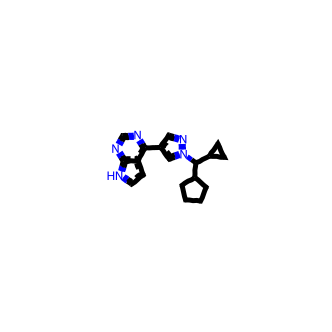 c1nc(-c2cnn(C(C3CCCC3)C3CC3)c2)c2cc[nH]c2n1